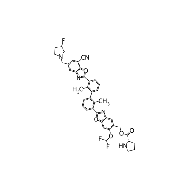 Cc1c(-c2nc3cc(COC(=O)[C@@H]4CCCN4)c(OC(F)F)cc3o2)cccc1-c1cccc(-c2nc3cc(CN4CCC(F)C4)cc(C#N)c3o2)c1C